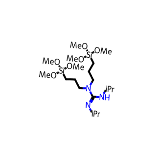 CO[Si](CCCN(CCC[Si](OC)(OC)OC)/C(=N/C(C)C)NC(C)C)(OC)OC